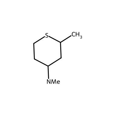 CNC1CCSC(C)C1